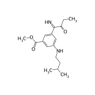 CCC(=O)C(=N)c1cc(NCCC(C)C)cc(C(=O)OC)c1